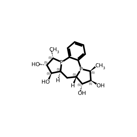 C[C@H]1[C@@H](O)[C@H](O)[C@@H]2C[C@H]3[C@@H](O)[C@H](O)[C@H](C)P3c3ccccc3P12